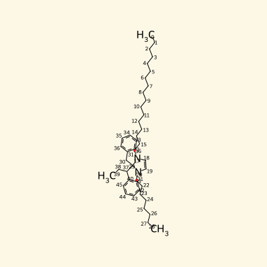 CCCCCCCCCCCCCCCCCN1C=CN(CCCCCCCC)C1(Cc1ccccc1)C(CC)c1ccccc1